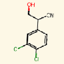 N#CC(CO)c1ccc(Cl)c(Cl)c1